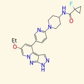 CCOc1cc(-c2ccc(N3CCC(NC(=O)C4(F)CC4)CC3)nc2)c2c3cn[nH]c3nn2c1